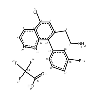 NCCc1cc(Cl)c2ccnnc2c1-c1cccc(F)c1.O=C(O)C(F)(F)F